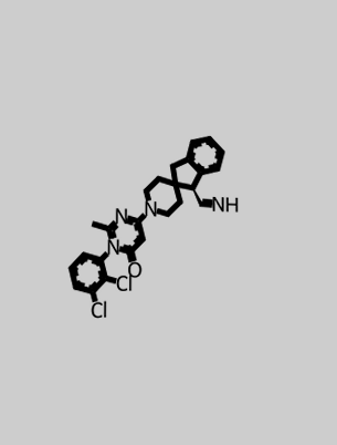 Cc1nc(N2CCC3(CC2)Cc2ccccc2[C@H]3C=N)cc(=O)n1-c1cccc(Cl)c1Cl